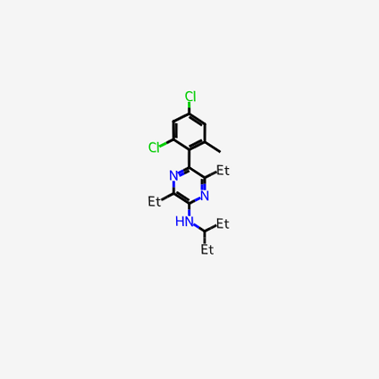 CCc1nc(-c2c(C)cc(Cl)cc2Cl)c(CC)nc1NC(CC)CC